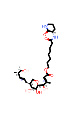 C/C(=C\C(=O)OCCCCCCCC(=O)N[C@H]1CCCNC1=O)[C@@H](O)[C@@H]1OC[C@H](C/C=C/[C@@H](C)[C@H](C)O)[C@@H](O)[C@H]1O